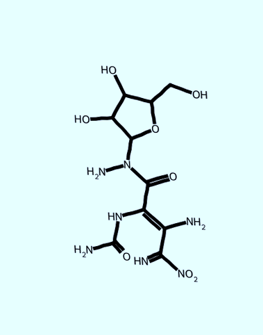 N=C(/C(N)=C(\NC(N)=O)C(=O)N(N)C1OC(CO)C(O)C1O)[N+](=O)[O-]